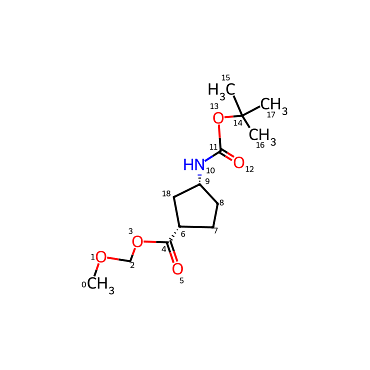 COCOC(=O)[C@H]1CC[C@@H](NC(=O)OC(C)(C)C)C1